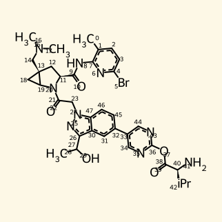 Cc1ccc(Br)nc1NC(=O)[C@@H]1C[C@@]2(CN(C)C)CC2N1C(=O)Cn1nc(C(C)O)c2cc(-c3cnc(OC(=O)[C@@H](N)C(C)C)nc3)ccc21